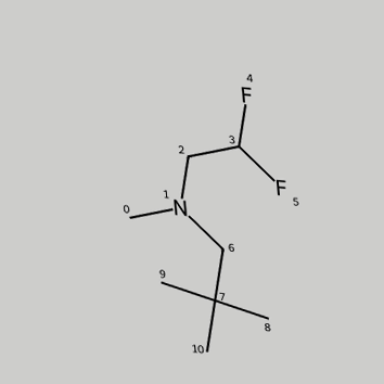 CN(CC(F)F)CC(C)(C)C